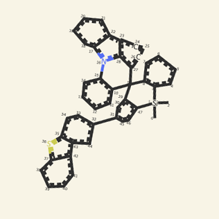 C[Si]1(C)c2ccccc2C2(c3ccccc3-n3c4ccccc4c4cccc2c43)c2cc(-c3ccc4sc5ccccc5c4c3)ccc21